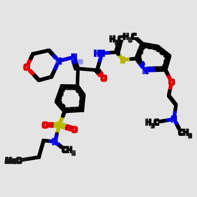 C=C(NC(=O)/C(=N/N1CCOCC1)c1ccc(S(=O)(=O)N(C)CCOC)cc1)Sc1nc(OCCN(C)C)ccc1C